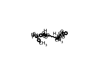 Cc1ccc(-c2cc(C(F)(F)F)nn2-c2ccc(S(=O)(=O)NC(=O)OCCCCCCN(C)/[N+]([O-])=N/OC(C)N3C(=O)c4ccccc4C3=O)cc2)cc1